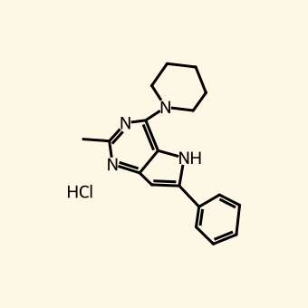 Cc1nc(N2CCCCC2)c2[nH]c(-c3ccccc3)cc2n1.Cl